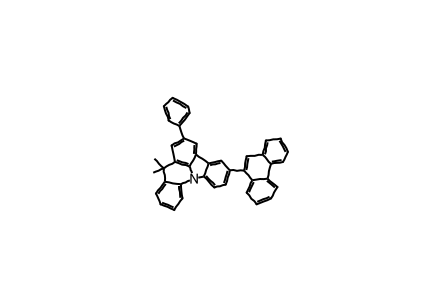 CC1(C)c2ccccc2-n2c3ccc(-c4cc5ccccc5c5ccccc45)cc3c3cc(-c4ccccc4)cc1c32